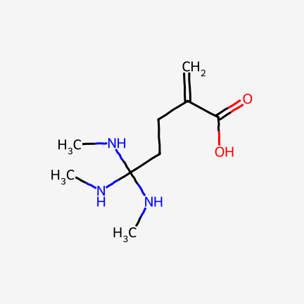 C=C(CCC(NC)(NC)NC)C(=O)O